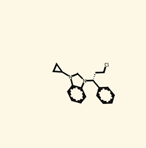 ClCC[C@H](c1ccccc1)N1[CH]N(C2CC2)c2ccccc21